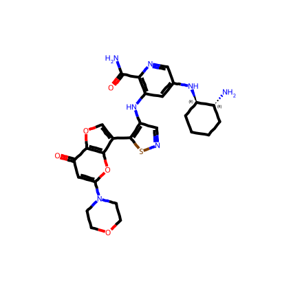 NC(=O)c1ncc(N[C@@H]2CCCC[C@H]2N)cc1Nc1cnsc1-c1coc2c(=O)cc(N3CCOCC3)oc12